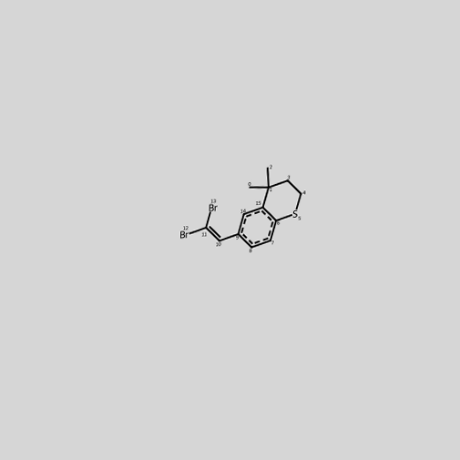 CC1(C)CCSc2ccc(C=C(Br)Br)cc21